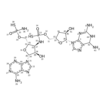 NC1=Nc2c(ncn2[C@@H]2O[C@H](COP(=O)(S)N[C@H]3[C@@H](O)[C@H](n4cnc5c(N)ncnc54)O[C@@H]3COP(N)(=O)S)C[C@H]2O)C(N)N1